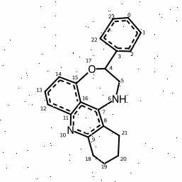 c1ccc(C2CNc3c4c(nc5cccc(c35)O2)CCCC4)cc1